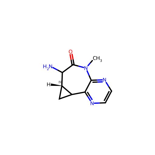 CN1C(=O)C(N)[C@H]2CC2c2nccnc21